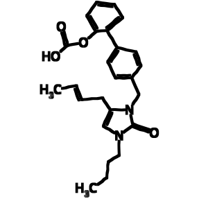 CC=CCc1cn(CCCC)c(=O)n1Cc1ccc(-c2ccccc2OC(=O)O)cc1